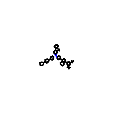 CC(C)(C)c1cc(-c2ccc(-c3ccc(N(c4ccc(-c5ccc(C6CCCCC6)cc5)cc4)c4ccc5c(c4)C(C)(C)c4ccccc4-5)cc3)c3c2CCCC3)cc(C(C)(C)C)c1